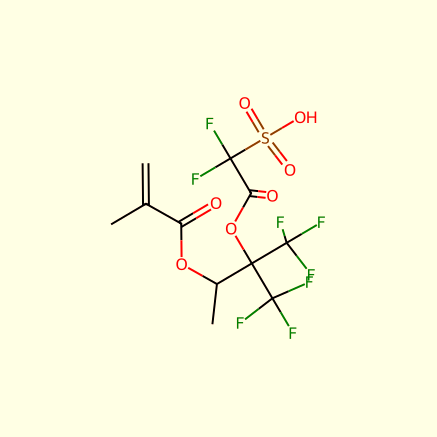 C=C(C)C(=O)OC(C)C(OC(=O)C(F)(F)S(=O)(=O)O)(C(F)(F)F)C(F)(F)F